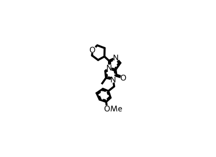 COc1cccc(Cn2c(C)cn3c(C4CCOCC4)ncc3c2=O)c1